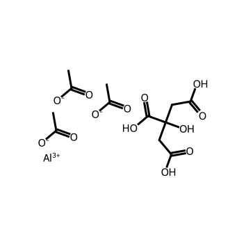 CC(=O)[O-].CC(=O)[O-].CC(=O)[O-].O=C(O)CC(O)(CC(=O)O)C(=O)O.[Al+3]